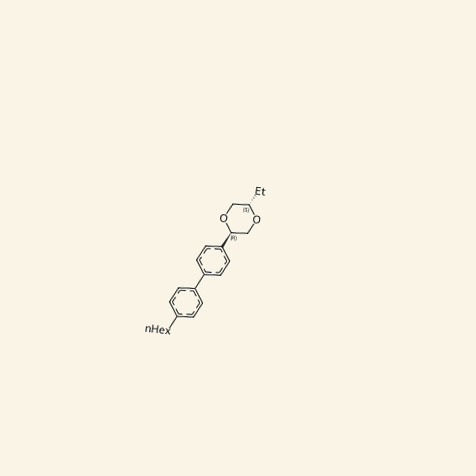 CCCCCCc1ccc(-c2ccc([C@@H]3CO[C@@H](CC)CO3)cc2)cc1